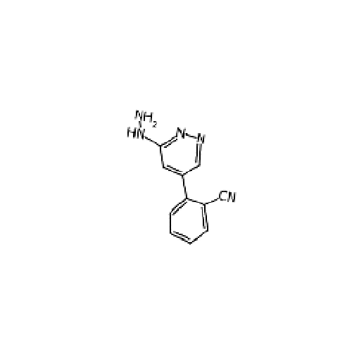 N#Cc1ccccc1-c1cnnc(NN)c1